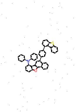 c1ccc(N(c2ccccc2)c2cccc3oc4c5ccccc5c(-c5ccc(-c6cccc7sc8ccccc8c67)cc5)cc4c23)cc1